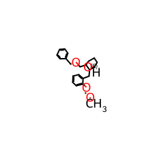 COCOc1ccccc1CC1C(COCc2ccccc2)C2CC[C@@H]1O2